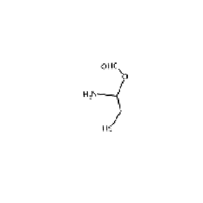 NC(CS)OC=O